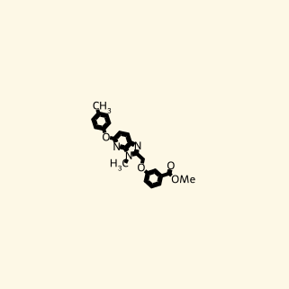 COC(=O)c1cccc(OCc2nc3ccc(Oc4ccc(C)cc4)nc3n2C)c1